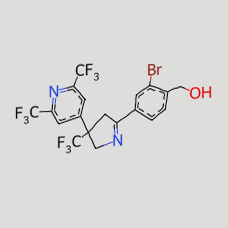 OCc1ccc(C2=NCC(c3cc(C(F)(F)F)nc(C(F)(F)F)c3)(C(F)(F)F)C2)cc1Br